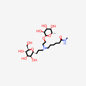 CNC(=O)CCCCCN(CCC[C@H]1O[C@H](CO)[C@@H](O)[C@H](O)[C@@H]1O)CCO[C@@H]1O[C@@H](C)[C@@H](O)[C@@H](O)[C@@H]1O